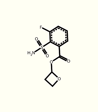 NS(=O)(=O)c1c(F)cccc1C(=O)OC1CCO1